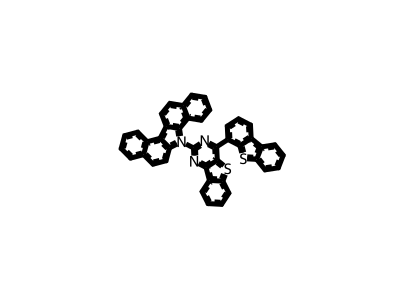 c1ccc2c(c1)ccc1c2c2ccc3ccccc3c2n1-c1nc(-c2cccc3c2sc2ccccc23)c2sc3ccccc3c2n1